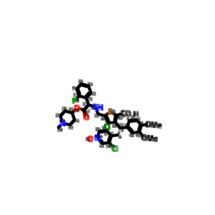 COc1ccc([C@H](Cc2c(Cl)c[n+]([O-])cc2Cl)c2cc(CNC(C(=O)OC3CCN(C)CC3)c3ccccc3F)sc2C(=O)O)cc1OC